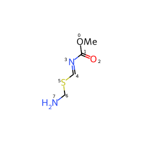 COC(=O)N=CSCN